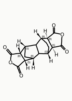 O=C1OC(=O)[C@H]2[C@@H]1[C@@H]1C[C@H]2C2C1[C@@H]1CC[C@H]2[C@H]2C(=O)OC(=O)[C@H]21